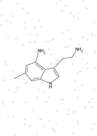 Cc1cc(N)c2c(CCN)c[nH]c2c1